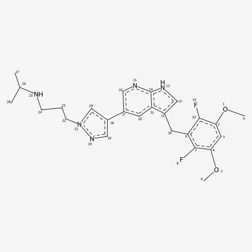 COc1cc(OC)c(F)c(Cc2c[nH]c3ncc(-c4cnn(CCCNC(C)C)c4)cc23)c1F